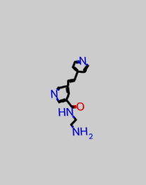 NCCNC(=O)c1cncc(/C=C/c2ccncc2)c1